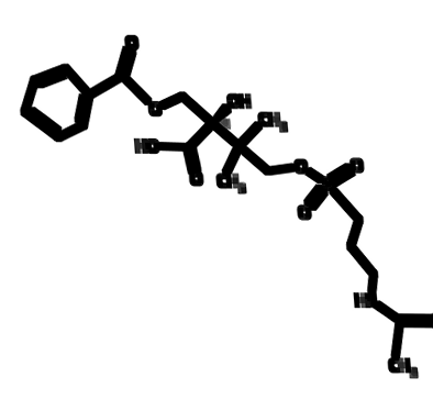 CC(=O)NCCCS(=O)(=O)OCC(C)(C)[C@@](O)(COC(=O)c1ccccc1)C(=O)O